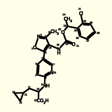 Cc1noc(-c2ccc(NC(CC3CC3)C(=O)O)nc2)c1NC(=O)OC(C)c1ccccc1Cl